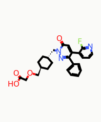 O=C(O)COC[C@H]1CC[C@H](Cn2nc(-c3ccccc3)c(-c3cccnc3F)cc2=O)CC1